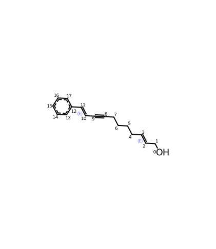 OC/C=C/CCCCC#C/C=C/c1ccccc1